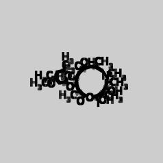 CO[C@]1(C)C[C@H](O[C@H]2[C@H](C)C[C@](C)(O)C[C@@H](C)CN(C)[C@H](C)[C@@H](O)[C@](C)(O)[C@@H](I)OC(=O)[C@@H]2C)O[C@@H](C)C1